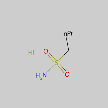 CCCCS(N)(=O)=O.F